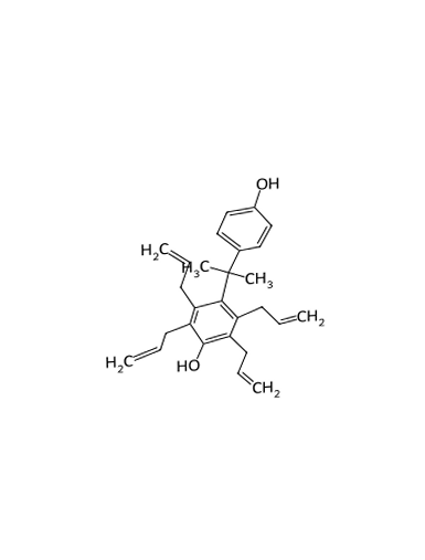 C=CCc1c(O)c(CC=C)c(CC=C)c(C(C)(C)c2ccc(O)cc2)c1CC=C